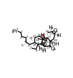 CC(C)CCC[C@@H](C)[C@H]1CC[C@H]2[C@@H]3[C@H]4O[C@H](C)[C@@]5(C[C@H]6O[C@H]6C[C@]5(O)C4=O)[C@H]3CC[C@]12C